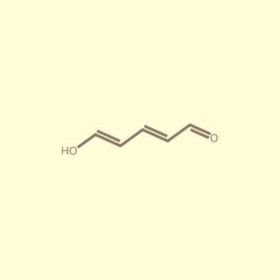 O=CC=CC=CO